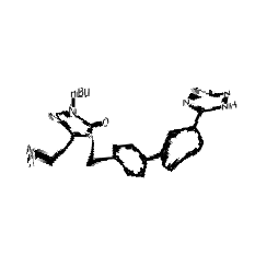 CCCCn1nc(CC(C)C)n(Cc2ccc(-c3cccc(-c4nnn[nH]4)c3)cc2)c1=O